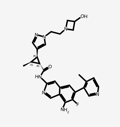 Cc1ccncc1-c1cc2cc(NC(=O)[C@@H]3[C@@H](C)[C@H]3c3cnn(CCN4CC(O)C4)c3)ncc2c(N)c1F